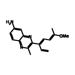 C=C/C(=C\C=C(/C)OC)c1nc2cc(N)ccc2nc1C